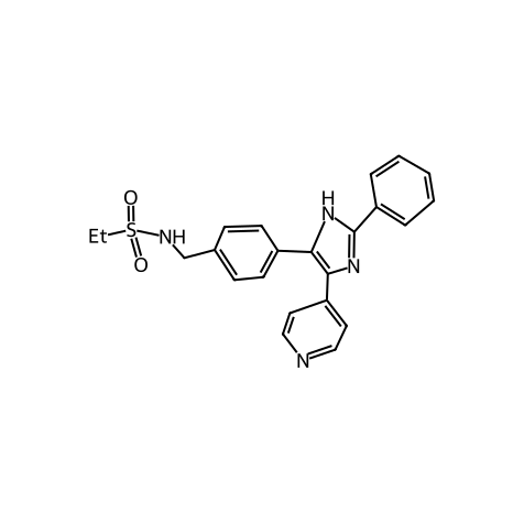 CCS(=O)(=O)NCc1ccc(-c2[nH]c(-c3ccccc3)nc2-c2ccncc2)cc1